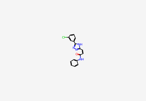 O=C(/C=C\c1nnc(-c2cccc(Cl)c2)[nH]1)Nc1ccccc1